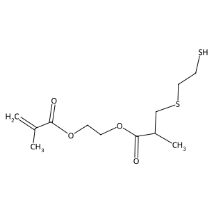 C=C(C)C(=O)OCCOC(=O)C(C)CSCCS